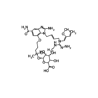 C=C/C(=C/N(C/C=C/Cn1c(N)nc2cc(C(N)=O)cc(OCCC[N+](C)(C)O[C@@H]3OC(C(=O)O)C(O)[C@H](O)[C@H]3O)c21)/C(=N\N)NC)OC